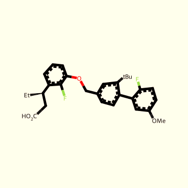 CC[C@H](CC(=O)O)c1cccc(OCc2ccc(-c3cc(OC)ccc3F)c(C(C)(C)C)c2)c1F